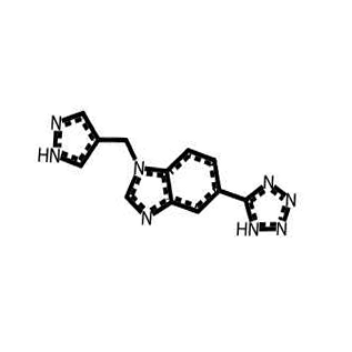 c1n[nH]cc1Cn1cnc2cc(-c3nnn[nH]3)ccc21